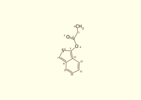 CCC(=O)Oc1scc2ccccc12